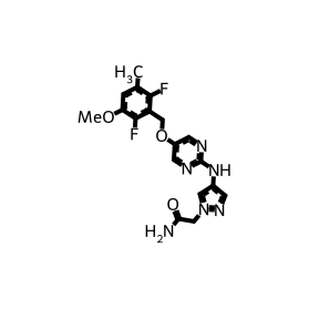 COc1cc(C)c(F)c(COc2cnc(Nc3cnn(CC(N)=O)c3)nc2)c1F